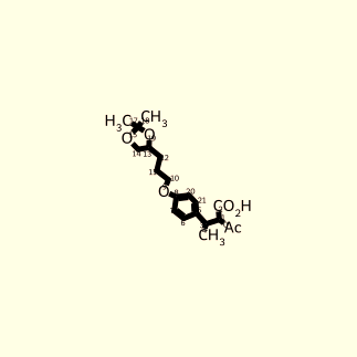 CC(=O)C(C(=O)O)C(C)c1ccc(OCCCC2COC(C)(C)O2)cc1